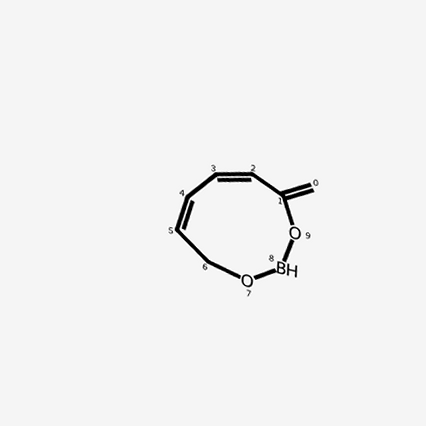 C=C1/C=C\C=C/COBO1